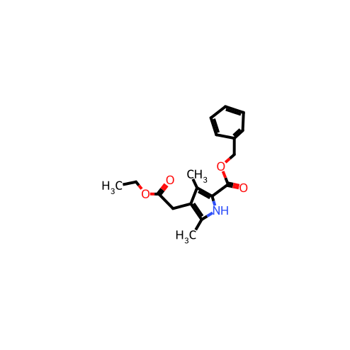 CCOC(=O)Cc1c(C)[nH]c(C(=O)OCc2ccccc2)c1C